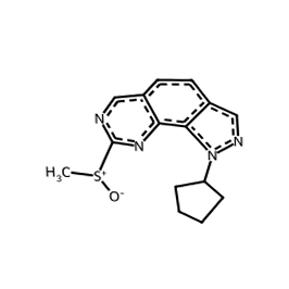 C[S+]([O-])c1ncc2ccc3cnn(C4CCCC4)c3c2n1